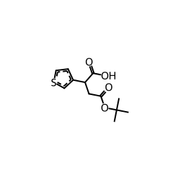 CC(C)(C)OC(=O)CC(C(=O)O)c1ccsc1